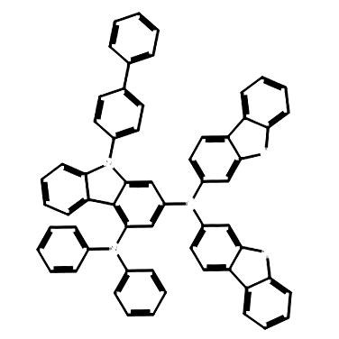 c1ccc(-c2ccc(-n3c4ccccc4c4c(N(c5ccccc5)c5ccccc5)cc(N(c5ccc6c(c5)oc5ccccc56)c5ccc6c(c5)oc5ccccc56)cc43)cc2)cc1